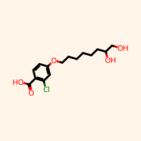 O=C(O)c1ccc(OCCCCCCC(O)CO)cc1Cl